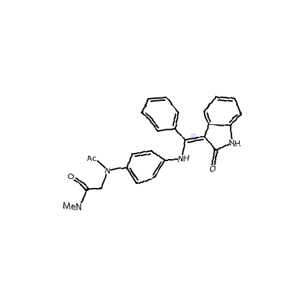 CNC(=O)CN(C(C)=O)c1ccc(N/C(=C2\C(=O)Nc3ccccc32)c2ccccc2)cc1